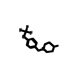 CC1CCN(Cc2ccc(OC(F)(F)F)cc2)CC1